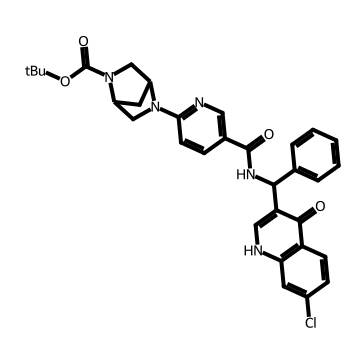 CC(C)(C)OC(=O)N1CC2CC1CN2c1ccc(C(=O)NC(c2ccccc2)c2c[nH]c3cc(Cl)ccc3c2=O)cn1